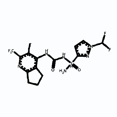 Cc1c(C(F)(F)F)nc2c(c1NC(=O)N[SH](N)(=O)c1ccn(C(F)F)n1)CCC2